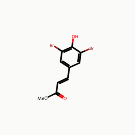 COC(=O)C=Cc1cc(Br)c(O)c(Br)c1